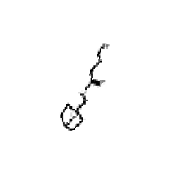 CC(C)CCCC(=O)OCC12CCC(CC1)CC2